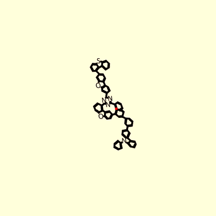 c1ccc(-c2nc(-c3ccc4c(c3)oc3cc(-c5cccc6sc7ccccc7c56)ccc34)nc(-c3cccc4oc5ccc(-c6cccc(-c7cccc(-c8ccc9c(c8)c8ccccc8n9-c8ccccc8)c7)c6)cc5c34)n2)cc1